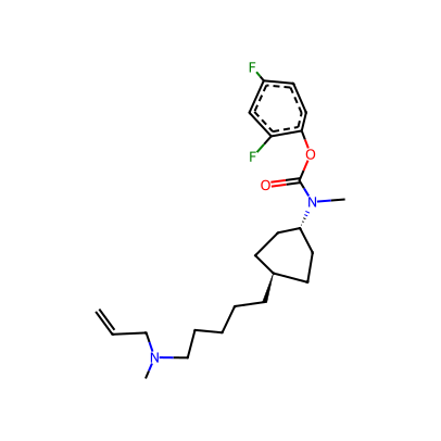 C=CCN(C)CCCCC[C@H]1CC[C@H](N(C)C(=O)Oc2ccc(F)cc2F)CC1